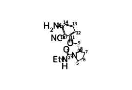 CCNC(=O)N1CCC[C@H]1COc1cccc(N)c1C#N